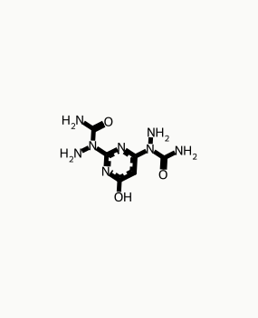 NC(=O)N(N)c1cc(O)nc(N(N)C(N)=O)n1